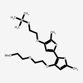 COCCOCCOc1cc(C)sc1-c1cc(OCCO[N+](C)(C)C)c(C)s1